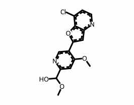 COc1cc(C(O)OC)ncc1-c1cc2nccc(Cl)c2o1